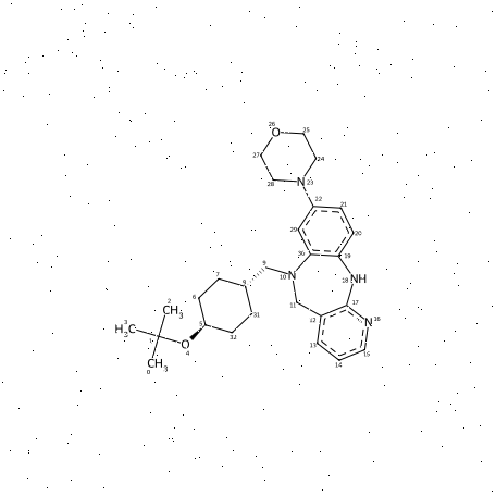 CC(C)(C)O[C@H]1CC[C@H](CN2Cc3cccnc3Nc3ccc(N4CCOCC4)cc32)CC1